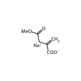 C=C(CC(=O)OC)C(=O)[O-].[Na+]